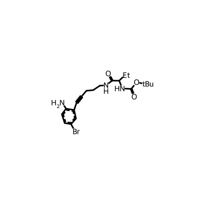 CCC(NC(=O)OC(C)(C)C)C(=O)NCCCC#Cc1cc(Br)ccc1N